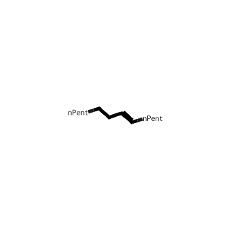 CCCCCC=C[CH]CCCCCC